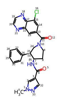 Cn1cc(C(=O)N[C@@H]2CCN(C(=O)c3cc(Cl)c4nccnc4c3)C[C@@H]2c2ccccc2)cn1